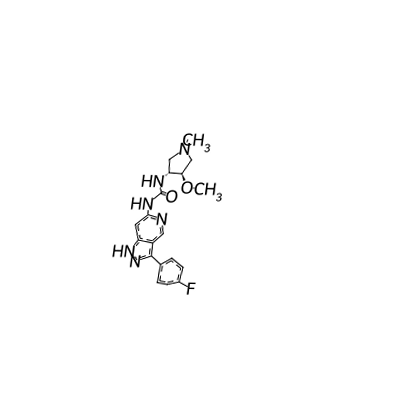 CO[C@@H]1CN(C)C[C@H]1NC(=O)Nc1cc2[nH]nc(-c3ccc(F)cc3)c2cn1